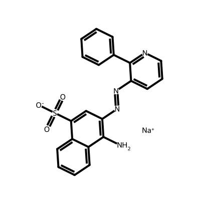 Nc1c(N=Nc2cccnc2-c2ccccc2)cc(S(=O)(=O)[O-])c2ccccc12.[Na+]